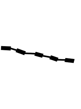 C#CC#CC#CC#CC#C